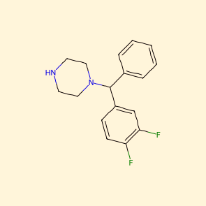 Fc1ccc(C(c2ccccc2)N2CCNCC2)cc1F